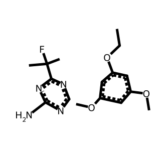 CC(C)(F)c1ncnc(N)n1.CCOc1cc(OC)cc(OC)c1